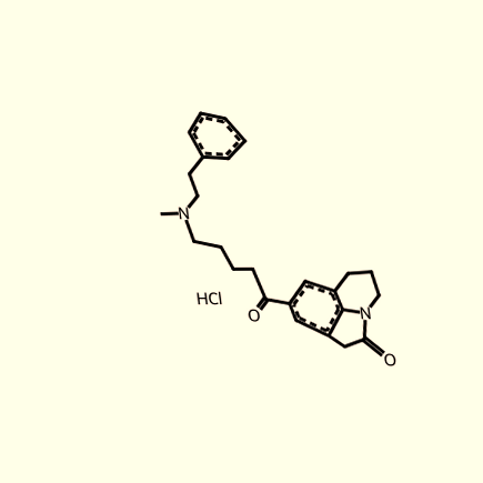 CN(CCCCC(=O)c1cc2c3c(c1)CC(=O)N3CCC2)CCc1ccccc1.Cl